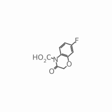 O=C(O)N1C(=O)COc2cc(F)ccc21